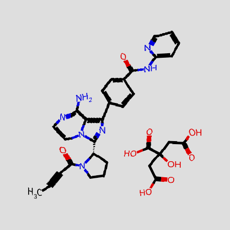 CC#CC(=O)N1CCC[C@H]1c1nc(-c2ccc(C(=O)Nc3ccccn3)cc2)c2c(N)nccn12.O=C(O)CC(O)(CC(=O)O)C(=O)O